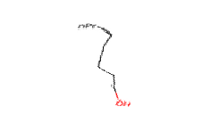 [CH2]CCCCC[CH]O